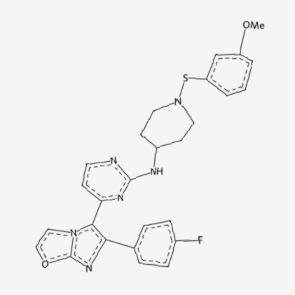 COc1cccc(SN2CCC(Nc3nccc(-c4c(-c5ccc(F)cc5)nc5occn45)n3)CC2)c1